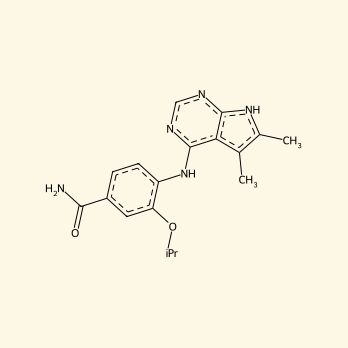 Cc1[nH]c2ncnc(Nc3ccc(C(N)=O)cc3OC(C)C)c2c1C